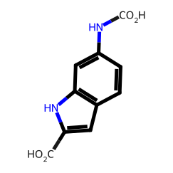 O=C(O)Nc1ccc2cc(C(=O)O)[nH]c2c1